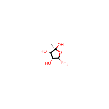 B[C@@H]1O[C@](C)(O)[C@@H](O)[C@H]1O